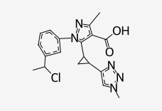 Cc1nn(-c2cccc(C(C)Cl)c2)c(C2CC2c2cn(C)nn2)c1C(=O)O